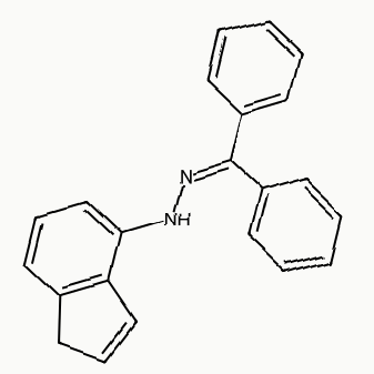 C1=Cc2c(cccc2NN=C(c2ccccc2)c2ccccc2)C1